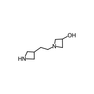 OC1CN(CCC2CNC2)C1